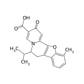 Cc1cccc2c3c(oc12)-c1cc(=O)c(C(=O)O)cn1C(C(C)C)C3